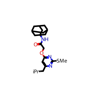 CSc1nc(CC(C)C)cc(OCC(=O)NC23CC4CC(CC(C4)C2)C3)n1